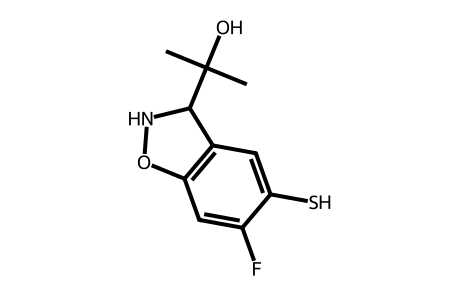 CC(C)(O)C1NOc2cc(F)c(S)cc21